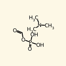 CN(C)C.O=COP(=O)(O)O